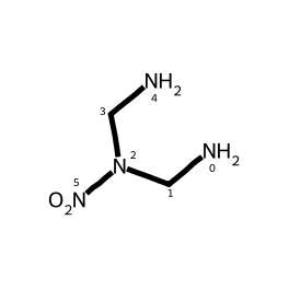 NCN(CN)[N+](=O)[O-]